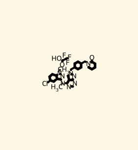 CN(c1ncnc2nn(Cc3ccc(Cn4ccccc4=O)cc3)cc12)c1nn(C)c2ccc(Cl)cc12.O=C(O)C(F)(F)F